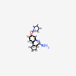 Nc1nc2cc(ON3CCCC3)ccc2c2c1CCC2